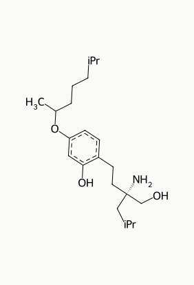 CC(C)CCCC(C)Oc1ccc(CC[C@@](N)(CO)CC(C)C)c(O)c1